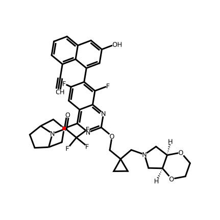 C#Cc1cccc2cc(O)cc(-c3c(F)cc4c(N5CC6CCC(C5)N6C(=O)C(F)(F)F)nc(OCC5(CN6C[C@@H]7OCCO[C@@H]7C6)CC5)nc4c3F)c12